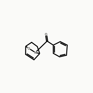 O=C(c1ccccc1)N1OC2C=CC1CC2